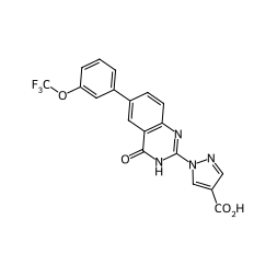 O=C(O)c1cnn(-c2nc3ccc(-c4cccc(OC(F)(F)F)c4)cc3c(=O)[nH]2)c1